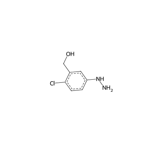 NNc1ccc(Cl)c(CO)c1